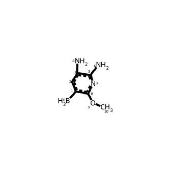 Bc1cc(N)c(N)nc1OC